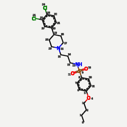 CCCCOc1ccc(S(=O)(=O)NCCCN2CCC(c3ccc(Cl)c(Cl)c3)CC2)cc1